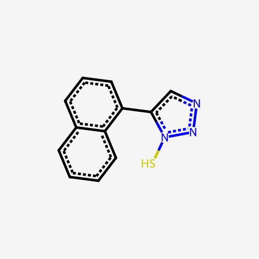 Sn1nncc1-c1cccc2ccccc12